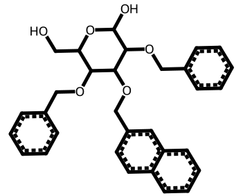 OCC1OC(O)C(OCc2ccccc2)C(OCc2ccc3ccccc3c2)C1OCc1ccccc1